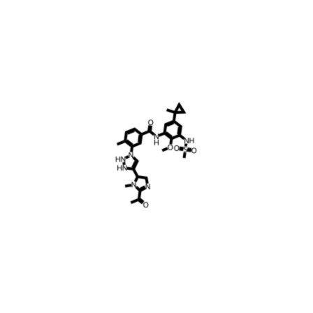 COc1c(NC(=O)c2ccc(C)c(N3C=C(C4CN=C(C(C)=O)N4C)NN3)c2)cc(C2(C)CC2)cc1NS(C)(=O)=O